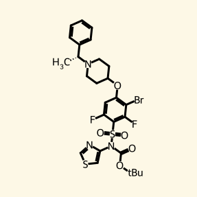 C[C@H](c1ccccc1)N1CCC(Oc2cc(F)c(S(=O)(=O)N(C(=O)OC(C)(C)C)c3cscn3)c(F)c2Br)CC1